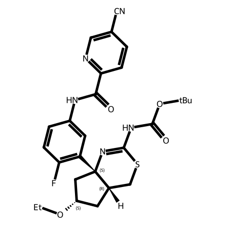 CCO[C@H]1C[C@H]2CSC(NC(=O)OC(C)(C)C)=N[C@@]2(c2cc(NC(=O)c3ccc(C#N)cn3)ccc2F)C1